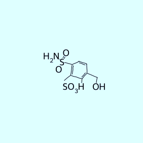 Cc1c(S(N)(=O)=O)ccc(CO)c1S(=O)(=O)O